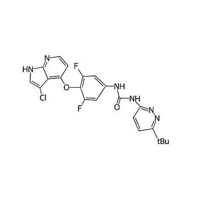 CC(C)(C)c1ccc(NC(=O)Nc2cc(F)c(Oc3ccnc4[nH]cc(Cl)c34)c(F)c2)nn1